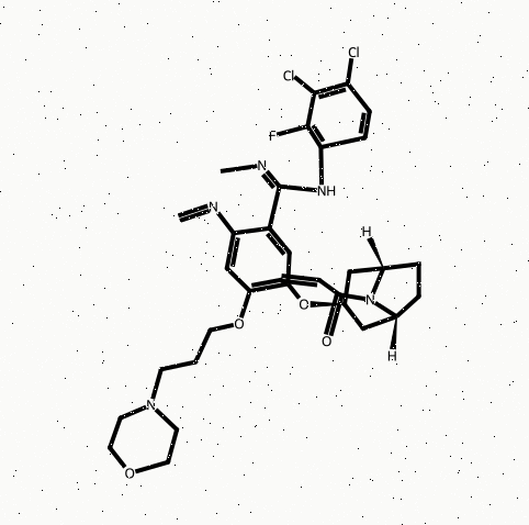 C=CC(=O)N1[C@@H]2CC[C@H]1C[C@H](Oc1cc(/C(=N\C)Nc3ccc(Cl)c(Cl)c3F)c(N=C)cc1OCCCN1CCOCC1)C2